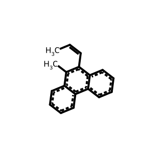 C/C=C\c1c(C)c2ccccc2c2ccccc12